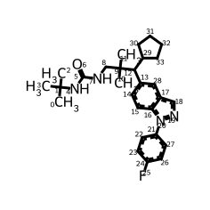 CC(C)(C)NC(=O)NCC(C)(C)C(c1ccc2c(cnn2-c2ccc(F)cc2)c1)C1CCCC1